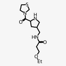 CCOCCC(=O)NCC1CNC(C(=O)N2CCSC2)C1